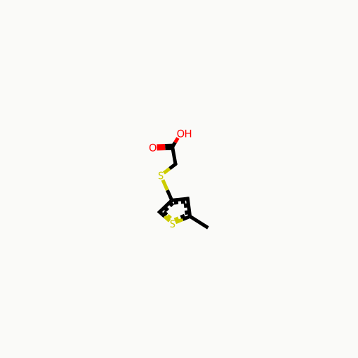 Cc1cc(SCC(=O)O)cs1